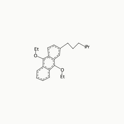 CCOc1c2ccccc2c(OCC)c2cc(CCCC(C)C)ccc12